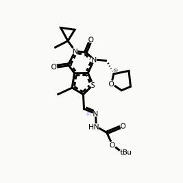 Cc1c(/C=N/NC(=O)OC(C)(C)C)sc2c1c(=O)n(C1(C)CC1)c(=O)n2C[C@@H]1CCCO1